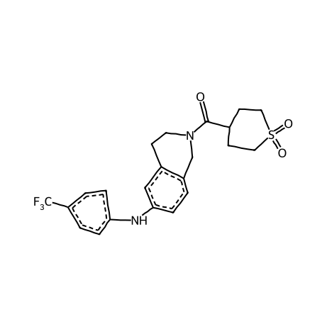 O=C(C1CCS(=O)(=O)CC1)N1CCc2cc(Nc3ccc(C(F)(F)F)cc3)ccc2C1